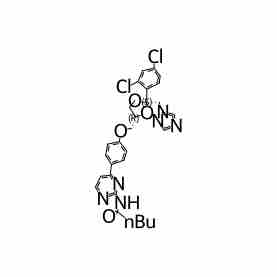 CCCCC(=O)Nc1nccc(-c2ccc(OC[C@@H]3CO[C@@](Cn4cncn4)(c4ccc(Cl)cc4Cl)O3)cc2)n1